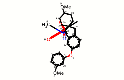 COc1cccc(Oc2ccc3c(c2)C2(NC(=O)N(C)C2=O)C2(CCC(OC)CC2)C3)c1